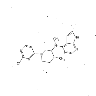 CC1CCN(c2ccnc(Cl)n2)CC1N(C)c1ncnc2[nH]ccc12